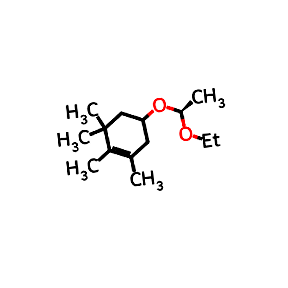 CCO[C@H](C)OC1CC(C)=C(C)C(C)(C)C1